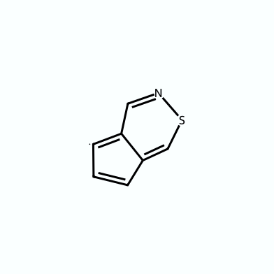 [c]1ccc2csncc1-2